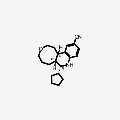 N#Cc1ccc2c(c1)[C@H]1CCOCCC[C@H]1[C@@H](C1CCCC1)N2